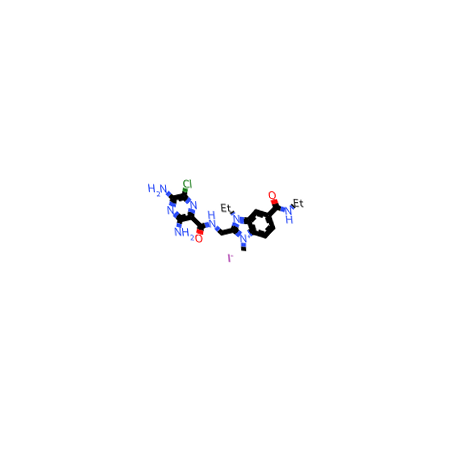 CCNC(=O)c1ccc2c(c1)n(CC)c(CNC(=O)c1nc(Cl)c(N)nc1N)[n+]2C.[I-]